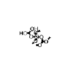 COC(OC)O[Si](OC)(OC)OC(O)O